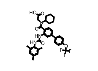 Cc1cc(C)c(NC(=O)Nc2cc(-c3ccc(OC(F)(F)F)cc3)ccc2C(=O)N(CC(=O)O)C2CCCCC2)c(C)c1